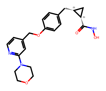 O=C(NO)[C@H]1C[C@H]1Cc1ccc(OCc2ccnc(N3CCOCC3)c2)cc1